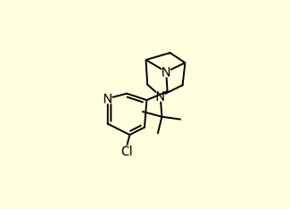 CC(C)(C)N1CC2CC(C1)N2Cc1cncc(Cl)c1